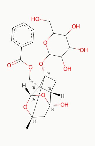 C[C@@]12C[C@@]3(O)O[C@H](O1)[C@]1(COC(=O)c4ccccc4)[C@@H]3C[C@]12OC1OC(CO)C(O)C(O)C1O